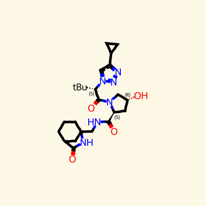 CC(C)(C)[C@@H](C(=O)N1C[C@H](O)C[C@H]1C(=O)NCC12CCCC(C1)C(=O)N2)n1cc(C2CC2)nn1